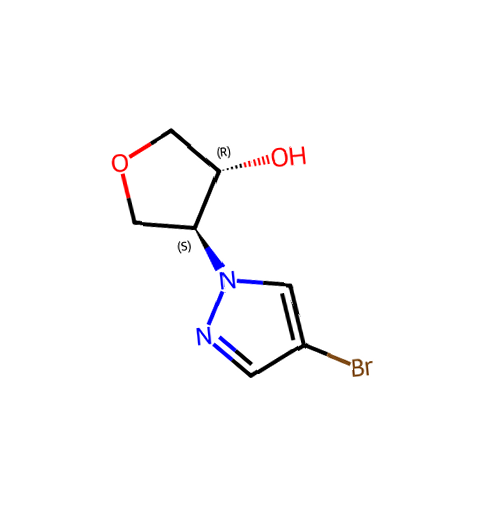 O[C@H]1COC[C@@H]1n1cc(Br)cn1